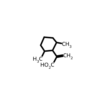 C=C(C(=O)O)C1C(C)CCCC1C